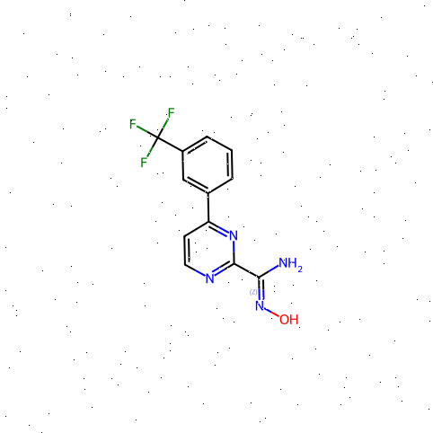 N/C(=N\O)c1nccc(-c2cccc(C(F)(F)F)c2)n1